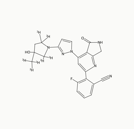 [2H]C1([2H])CC(O)(C([2H])([2H])[2H])C([2H])([2H])N1c1ccn(-c2cc(-c3c(F)cccc3C#N)nc3c2C(=O)NC3)n1